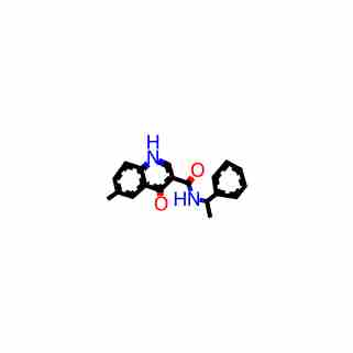 Cc1ccc2[nH]cc(C(=O)NC(C)c3ccccc3)c(=O)c2c1